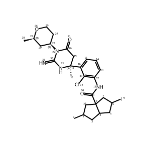 CC1CC2CC(I)CC2(C(=O)Nc2cccc([C@]3(C)CC(=O)N([C@@H]4CCO[C@H](C)C4)C(=N)N3)c2Cl)C1